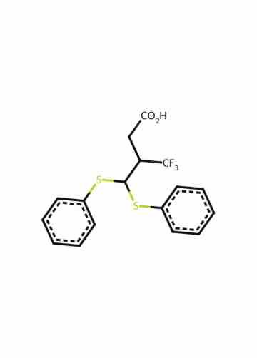 O=C(O)CC(C(Sc1ccccc1)Sc1ccccc1)C(F)(F)F